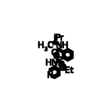 CCOc1ccncc1NS(=O)(=O)c1ccccc1C(=O)N[C@@H](C)C(C)C